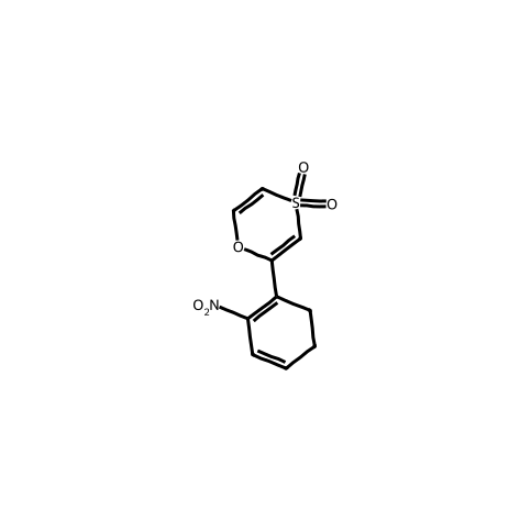 O=[N+]([O-])C1=C(C2=CS(=O)(=O)C=CO2)CCC=C1